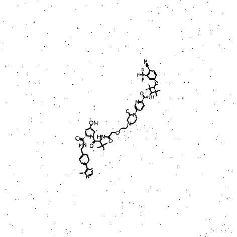 Cc1ncsc1-c1ccc(CNC(=O)[C@@H]2C[C@@H](O)CN2C(=O)C(NC(=O)COCCN2CCN(c3ccc(C(=O)NC4C(C)(C)C(Oc5ccc(C#N)c(C(F)(F)F)c5)C4(C)C)nc3)C(=O)C2)C(C)(C)C)cc1